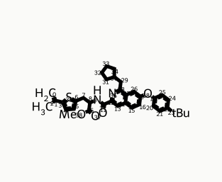 C=C(C)c1ccc(CC(NC(=O)c2cc3ccc(Oc4ccc(C(C)(C)C)cc4)cc3c(CC3CCCC3)n2)C(=O)OC)s1